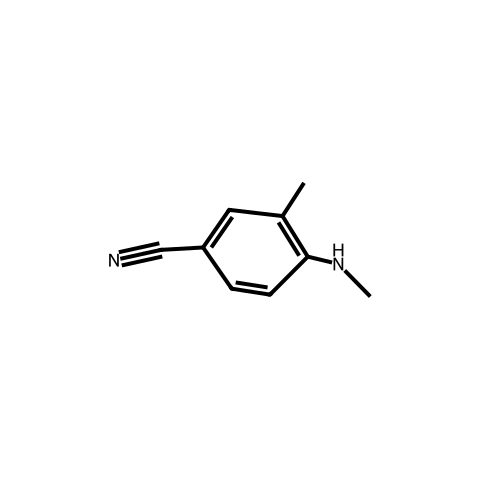 CNc1ccc(C#N)cc1C